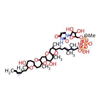 C=C/C=C\CCC1OC2CCC3(C)OC4C(O)CC5(C)OC(CC/C=C(C)/C(C)=C/COP(=O)(O)OP(=O)(O)OP(=O)(OC)OCC6OC(n7ccc(=O)[nH]c7=O)C(O)C6O)C(C)CC5OC4CC3OC2CCC1(C)O